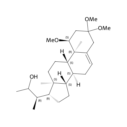 CO[C@H]1CC(OC)(OC)CC2=CC[C@H]3[C@@H]4CC[C@H]([C@@H](C)C(C)O)[C@@]4(C)CC[C@@H]3[C@]21C